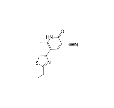 CCc1nc(-c2cc(C#N)c(=O)[nH]c2C)cs1